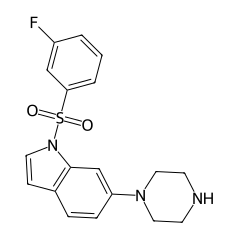 O=S(=O)(c1cccc(F)c1)n1ccc2ccc(N3CCNCC3)cc21